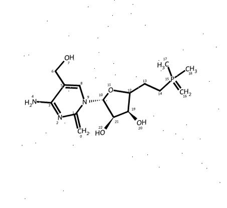 C=C1N=C(N)C(CO)=CN1[C@@H]1OC(CCP(=C)(C)C)[C@@H](O)[C@H]1O